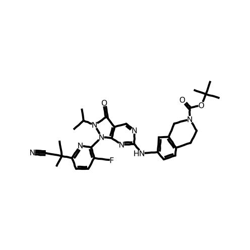 CC(C)n1c(=O)c2cnc(Nc3ccc4c(c3)CN(C(=O)OC(C)(C)C)CC4)nc2n1-c1nc(C(C)(C)C#N)ccc1F